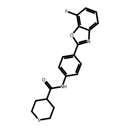 O=C(Nc1ccc(-c2nc3cccc(F)c3o2)cc1)C1CCSCC1